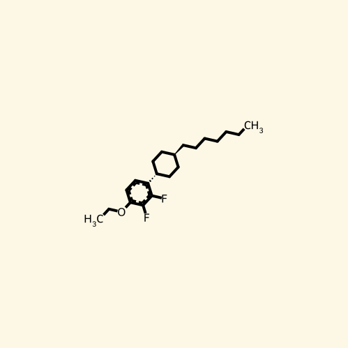 CCCCCCC[C@H]1CC[C@H](c2ccc(OCC)c(F)c2F)CC1